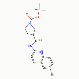 CC(C)(C)OC(=O)N1CCC(C(=O)Nc2ccc3cc(Br)ccc3n2)C1